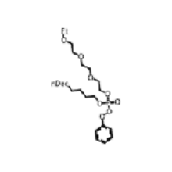 CCCCCCCCCCCCCCOP(=O)(OCCOCCOCCOCC)OOc1ccccc1